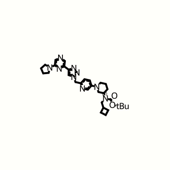 CC(C)(C)OC(=O)N(CC1CCC1)[C@@H]1CCCN(c2ccc(Cn3cc(-c4cncc(N5CCCC5)n4)nn3)nc2)C1